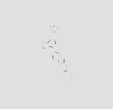 O=C(Nc1cn2cc(-c3c(Cl)c(F)c(Cn4ncnn4)c4[nH]ncc34)ccc2n1)C1CC1F